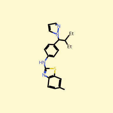 CCC(CC)C(c1ccc(Nc2nc3ccc(C)cc3s2)cc1)n1cccn1